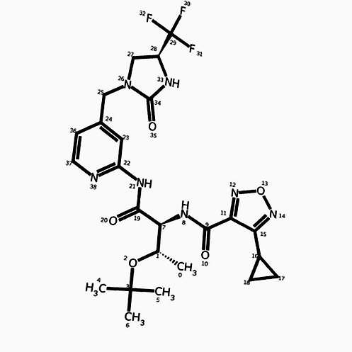 C[C@H](OC(C)(C)C)[C@H](NC(=O)c1nonc1C1CC1)C(=O)Nc1cc(CN2C[C@@H](C(F)(F)F)NC2=O)ccn1